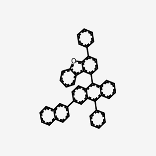 c1ccc(-c2c3ccccc3c(-c3ccc(-c4ccccc4)c4oc5ccccc5c34)c3ccc(-c4ccc5ccccc5c4)cc23)cc1